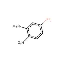 Bc1ccc([N+](=O)[O-])c(NC)c1